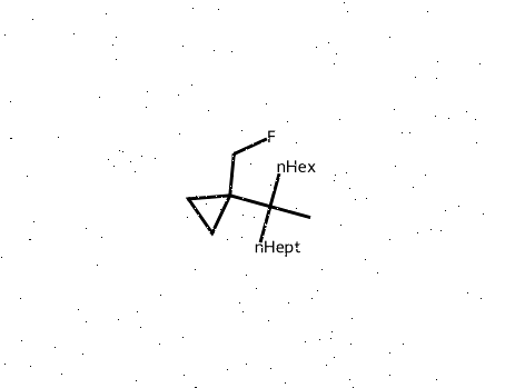 CCCCCCCC(C)(CCCCCC)C1(CF)CC1